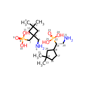 CC1(C)CC(CN)(CP(=O)(O)O)C1.CC1(C)CCC([C@@H](CN)P(=O)(O)O)C1